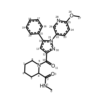 CNC(=O)C1CCCCN1C(=O)c1cc(-c2ccccc2)n(-c2ccc(OC)nc2)n1